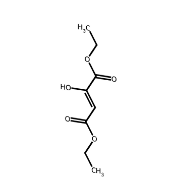 CCOC(=O)C=C(O)C(=O)OCC